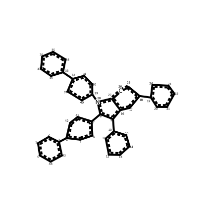 c1ccc(-c2ccc(-c3c(-c4ccccc4)c4cc(-c5ccccc5)ccc4n3-c3ccc(-c4ccccc4)cc3)cc2)cc1